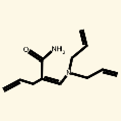 C=CCC(=CN(CC=C)CC=C)C(N)=O